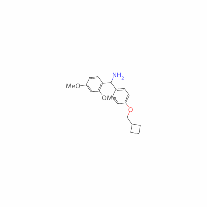 COc1ccc(C(N)c2ccc(OCC3CCC3)cc2)c(OC)c1